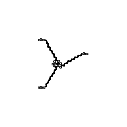 CCCCCCCCCCCCCCCCCCCCCC(=O)OC(CCC)(OC(=O)CCCCCCCCCCCCCCCCCCCCC)OC(=O)CCCCCCCCCCCCCCCCCCCCC